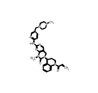 C=CC(=O)N1CCC(N2Cc3cnc(Nc4ccc(CN5CCN(C)CC5)cn4)nc3N(C)C2=O)c2ccccc21